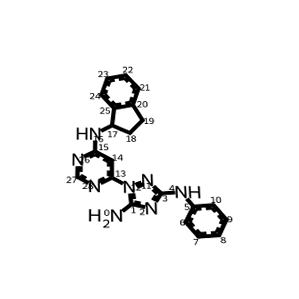 Nc1nc(Nc2ccccc2)nn1-c1cc(NC2CCc3ccccc32)ncn1